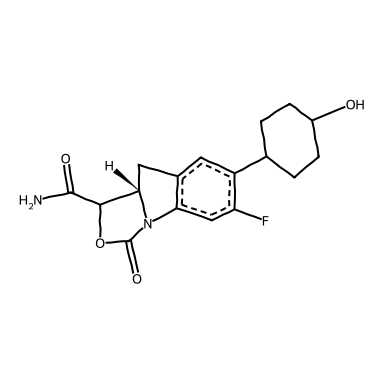 NC(=O)C1OC(=O)N2c3cc(F)c(C4CCC(O)CC4)cc3C[C@@H]12